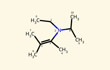 CCN(C(C)=C(C)C)C(C)C